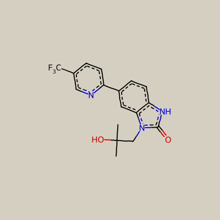 CC(C)(O)Cn1c(=O)[nH]c2ccc(-c3ccc(C(F)(F)F)cn3)cc21